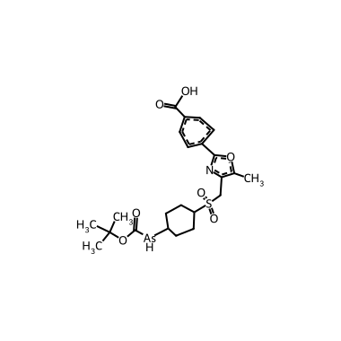 Cc1oc(-c2ccc(C(=O)O)cc2)nc1CS(=O)(=O)C1CCC([AsH]C(=O)OC(C)(C)C)CC1